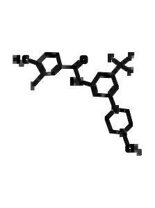 Cc1ccc(C(=O)Nc2cc(N3CCN(C)CC3)cc(C(F)(F)F)c2)cc1I